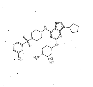 Cl.Cl.NC1CCC(Nc2nc(NC3CCN(S(=O)(=O)c4cccc(C(F)(F)F)c4)CC3)c3ncn(C4CCCC4)c3n2)CC1